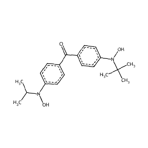 CC(C)N(O)c1ccc(C(=O)c2ccc(N(O)C(C)(C)C)cc2)cc1